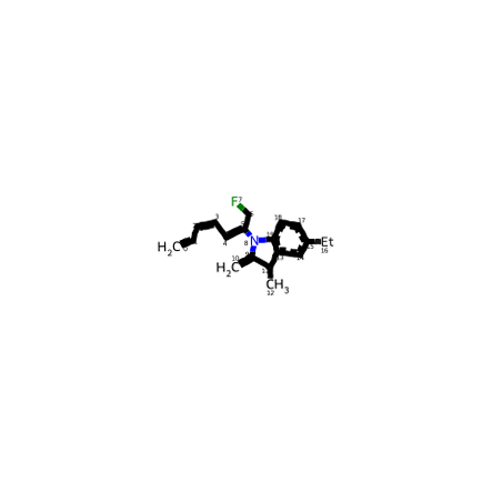 C=C/C=C\C=C(/CF)N1C(=C)C(C)c2cc(CC)ccc21